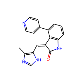 Cc1nc[nH]c1C=C1C(=O)Nc2cccc(-c3ccncc3)c21